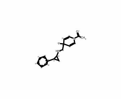 CC(=O)N1C=CC(F)(CNC2CC2c2ccccc2)C=C1